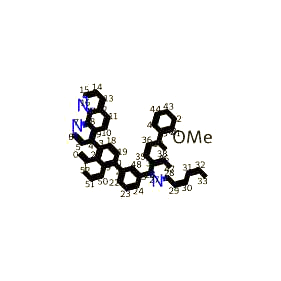 C=Cc1c(-c2ccnc3c2ccc2cccnc23)ccc(-c2cccc(C(=N/C/C=C\C=C/C)/C(/C=C\C(C)C3=C(OC)CCC=C3)=C\C)c2)c1/C=C\C